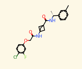 Cc1cccc([C@@H](C)NC(=O)C23CC(NC(=O)COc4ccc(Cl)c(F)c4)(C2)C3)c1